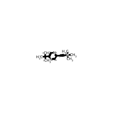 CC(C)(C)c1cnc(C#C[Si](C)(C)C)cn1